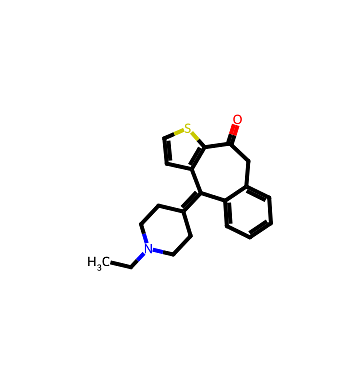 CCN1CCC(=C2c3ccccc3CC(=O)c3sccc32)CC1